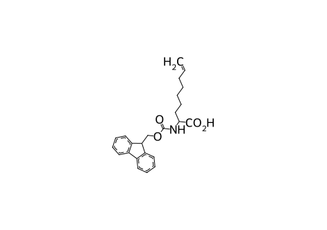 C=CCCCCCC(NC(=O)OCC1c2ccccc2-c2ccccc21)C(=O)O